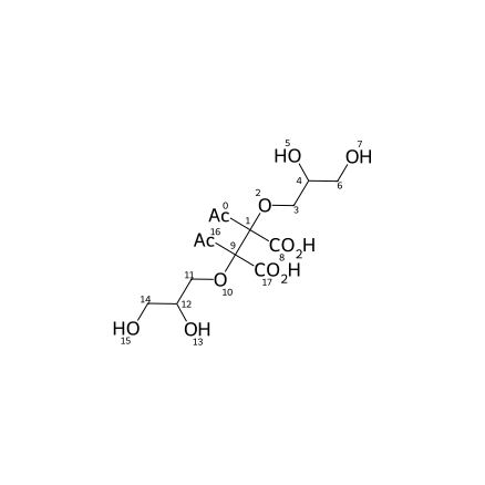 CC(=O)C(OCC(O)CO)(C(=O)O)C(OCC(O)CO)(C(C)=O)C(=O)O